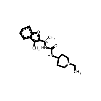 CCN1CCC(NC(=O)N[C@@H](C)c2oc3ccccc3c2C)CC1